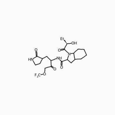 CC[C@@H](O)C(=O)N1C(C(=O)NC(CC2CCNC2=O)C(=O)COC(F)(F)F)CC2CCCCC21